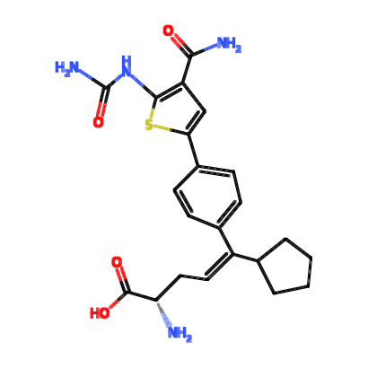 NC(=O)Nc1sc(-c2ccc(/C(=C\C[C@H](N)C(=O)O)C3CCCC3)cc2)cc1C(N)=O